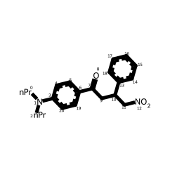 CCCN(CCC)c1ccc(C(=O)CC(C[N+](=O)[O-])c2ccccc2)cc1